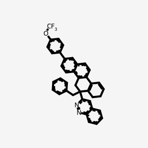 FC(F)(F)Oc1ccc(-c2ccc3c4c(ccc3c2)C2=C(CCC=C2)C(Cc2ccccc2)(c2cc3ccccc3nn2)C4)cc1